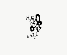 CCOC(=O)CN1CCN(c2ccc3c(c2)C(N(C)C(=O)OCc2ccccc2)CCC3)CC1